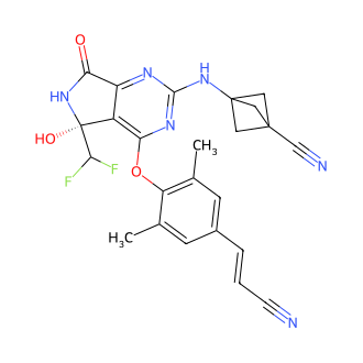 Cc1cc(/C=C/C#N)cc(C)c1Oc1nc(NC23CC(C#N)(C2)C3)nc2c1[C@@](O)(C(F)F)NC2=O